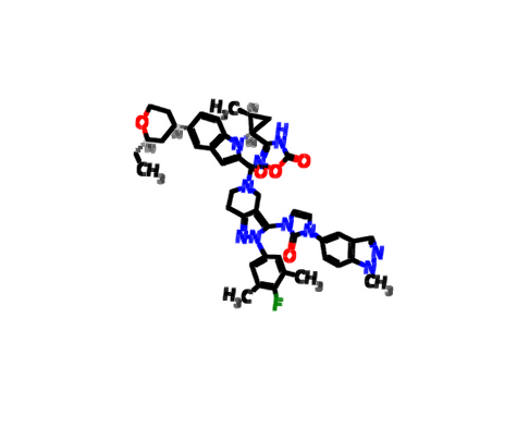 CC[C@H]1C[C@@H](c2ccc3c(c2)cc(C(=O)N2CCc4nn(-c5cc(C)c(F)c(C)c5)c(-n5ccn(-c6ccc7c(cnn7C)c6)c5=O)c4C2)n3[C@@]2(c3noc(=O)[nH]3)C[C@@H]2C)CCO1